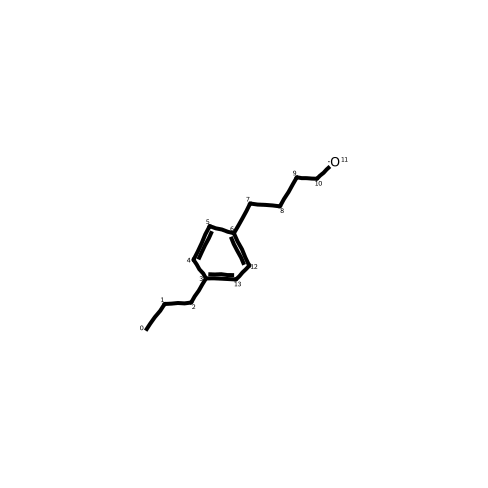 CCCc1ccc(CCCC[O])cc1